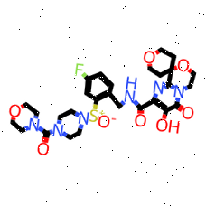 O=C(NCc1ccc(F)cc1[S+]([O-])N1CCN(C(=O)N2CCOCC2)CC1)c1nc2n(c(=O)c1O)CCOC21CCOCC1